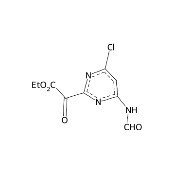 CCOC(=O)C(=O)c1nc(Cl)cc(NC=O)n1